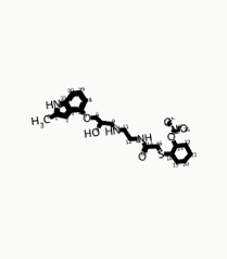 Cc1cc2c(OCC(O)CNCCNC(=O)CSC3CCCCC3O[N+](=O)[O-])cccc2[nH]1